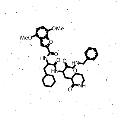 COc1ccc(OC)c2oc(C(=O)NC(CC3CCCCC3)C(=O)NC(CC3CCCNC3=O)C(=O)C(=O)NCc3ccccc3)cc12